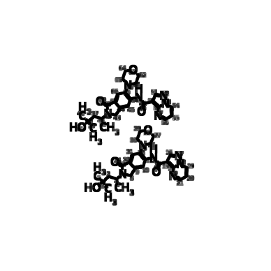 C[C@@H](CC(C)(C)O)N1Cc2cc(NC(=O)c3cnn4cccnc34)c(N3CCOCC3)cc2C1=O.C[C@H](CC(C)(C)O)N1Cc2cc(NC(=O)c3cnn4cccnc34)c(N3CCOCC3)cc2C1=O